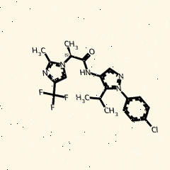 Cc1nc(C(F)(F)F)cn1[C@@H](C)C(=O)Nc1cnn(-c2ccc(Cl)cc2)c1C(C)C